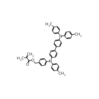 C=C(C)C(=O)OCc1ccc(N(c2ccc(C)cc2)c2ccc(-c3ccc(N(c4ccc(C)cc4)c4ccc(C)cc4)cc3)cc2)cc1